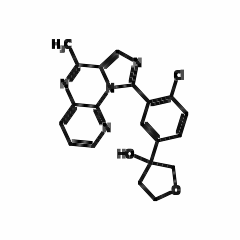 Cc1nc2cccnc2n2c(-c3cc(C4(O)CCOC4)ccc3Cl)ncc12